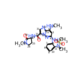 CNc1cc(Nc2ccccc2N(C)S(C)(=O)=O)nn2c(C(=O)N[C@@H]3CCN(C)C3=O)cnc12